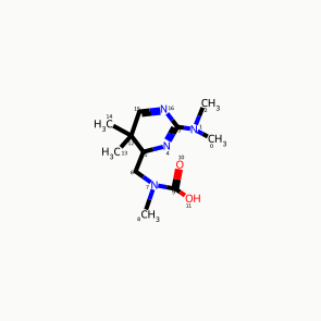 CN(C)C1=NC(CN(C)C(=O)O)C(C)(C)C=N1